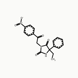 CCC1(c2ccccc2)NC(=O)N(CC(=O)c2ccc([N+](=O)[O-])cc2)C1=O